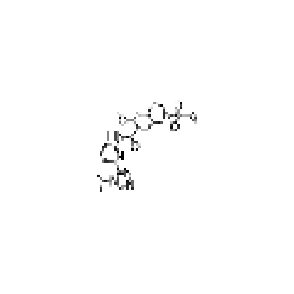 COc1cc2c(cc1C(=O)Nc1cccc(-c3nncn3C(C)C)n1)CN(S(=O)(=O)C1CC1)CC2